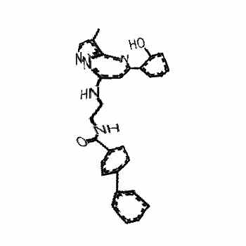 Cc1cnn2c(NCCNC(=O)c3ccc(-c4ccccc4)cc3)cc(-c3ccccc3O)nc12